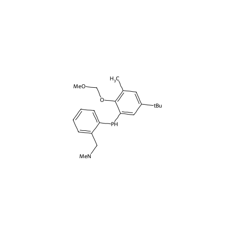 CNCc1ccccc1Pc1cc(C(C)(C)C)cc(C)c1OCOC